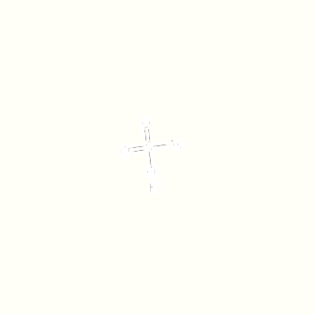 CC(=O)S(=O)(=O)[O-].[K+]